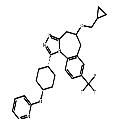 FC(F)(F)c1ccc2c(c1)CC(OCC1CC1)Cc1nnc([C@H]3CC[C@H](Oc4ccccn4)CC3)n1-2